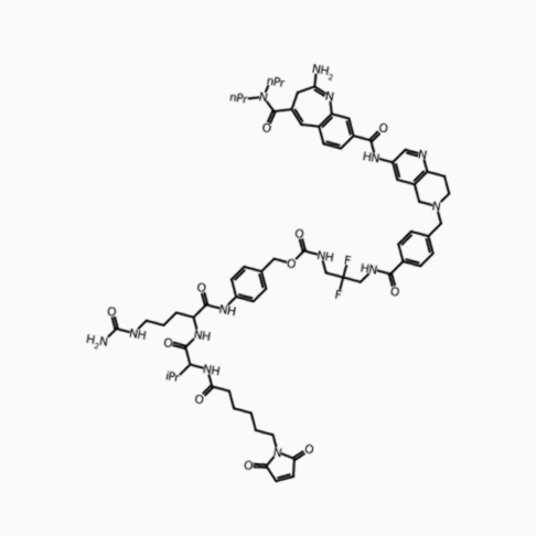 CCCN(CCC)C(=O)C1=Cc2ccc(C(=O)Nc3cnc4c(c3)CN(Cc3ccc(C(=O)NCC(F)(F)CNC(=O)OCc5ccc(NC(=O)C(CCCNC(N)=O)NC(=O)C(NC(=O)CCCCCN6C(=O)C=CC6=O)C(C)C)cc5)cc3)CC4)cc2N=C(N)C1